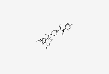 Cc1ccc(NC(=O)N2CCC(C(C)[S+]([O-])c3cn(C)nc3C(F)F)CC2)cn1